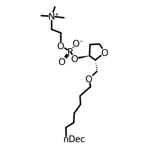 CCCCCCCCCCCCCCCCOC[C@H]1OCC[C@@H]1OP(=O)([O-])OCC[N+](C)(C)C